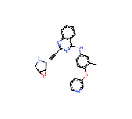 C#Cc1nc(Nc2ccc(Oc3cccnc3)c(C)c2)c2ccccc2n1.C1NCC2OC12